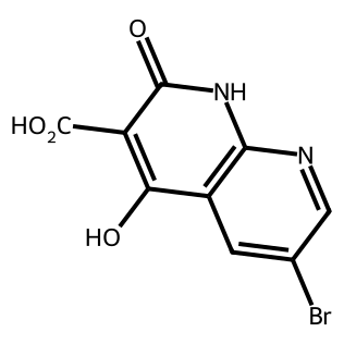 O=C(O)c1c(O)c2cc(Br)cnc2[nH]c1=O